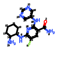 NC(=O)c1cc(F)c(NC2CCCCC2N)nc1Nc1cncnc1